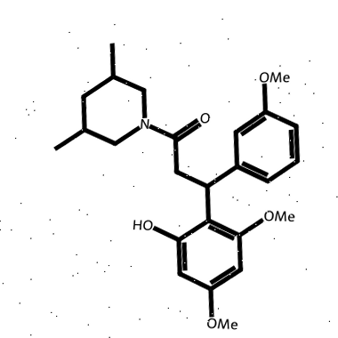 COc1cccc(C(CC(=O)N2CC(C)CC(C)C2)c2c(O)cc(OC)cc2OC)c1